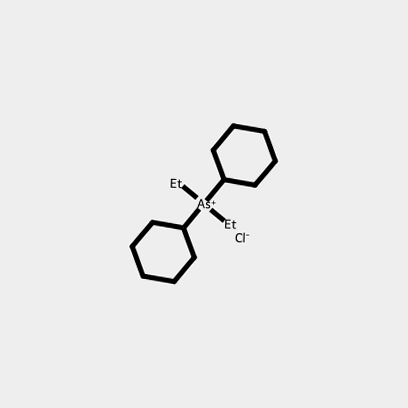 CC[As+](CC)(C1CCCCC1)C1CCCCC1.[Cl-]